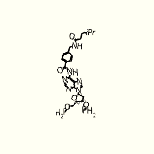 CC(C)CCC(=O)NCc1ccc(C(=O)Nc2ncnc3c2ncn3[C@H]2C[C@@H](OP)[C@@H](COP)O2)cc1